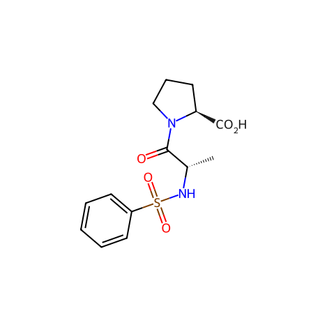 C[C@H](NS(=O)(=O)c1ccccc1)C(=O)N1CCC[C@H]1C(=O)O